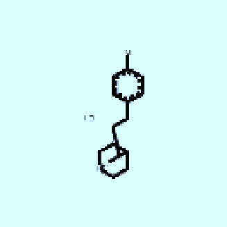 Cl.Clc1ccc(CCC2CN3CCC2CC3)cc1